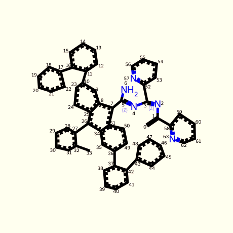 C=C(/N=C(\N=C(/N)c1c2cc(-c3ccccc3-c3ccccc3)ccc2c(-c2ccccc2C)c2cc(-c3ccccc3-c3ccccc3)ccc12)c1ccccn1)c1ccccn1